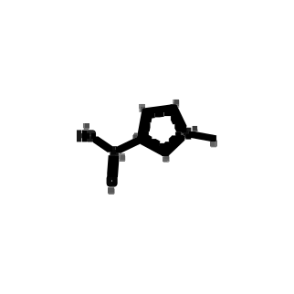 Cn1ccc(S(=O)O)c1